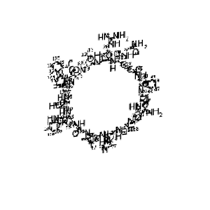 CCCCC1C(=O)N(C)C(CCCC)C(=O)NC(CCCNC(=N)N)C(=O)NC(C(=O)NCC(N)=O)CSCC(=O)NC(Cc2ccccc2)C(=O)N(C)C(C)C(=O)NC(CC(N)=O)C(=O)N2CCCC2C(=O)NC(Cc2cnc[nH]2)C(=O)NC(CC(C)C)C(=O)N(C)CC(=O)NC(Cc2c[nH]c3ccccc23)C(=O)NC(CO)C(=O)NC(Cc2ccc(-c3ccccc3C)cc2)C(=O)N1C